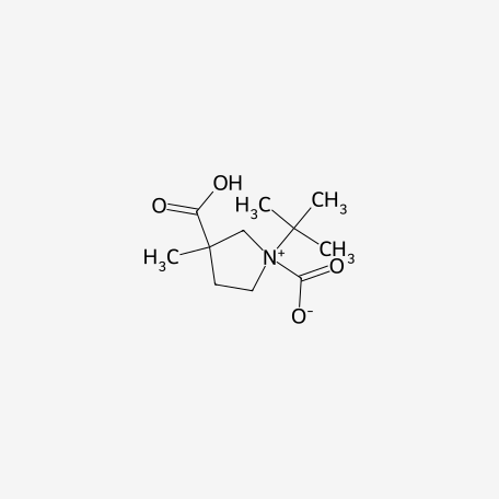 CC1(C(=O)O)CC[N+](C(=O)[O-])(C(C)(C)C)C1